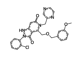 COc1cccc(COCc2c3c(=O)n(-c4ccccc4Cl)[nH]c3cc(=O)n2Cc2cnccn2)c1